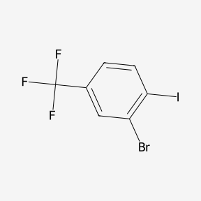 FC(F)(F)c1ccc(I)c(Br)c1